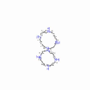 C1CCNCCCN(N2CCCNCCCNCCCNCCC2)CCCCNCCCNC1